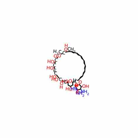 C[C@H]1C[C@H](O)[C@@H](C)/C=C/C=C/C=C/C=C/C=C/C=C/C=C/C(O[C@@H]2OC[C@@H](O)[C@H](N)[C@@H]2O)C[C@@H]2OC(O)(CC(O)CC(O)C(O)CC[C@@H](O)CC(O)CC(=O)O1)C[C@H](O)[C@H]2C(=O)NCN